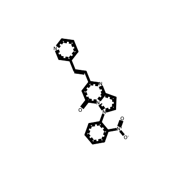 O=c1cc(/C=C/c2cccnc2)nc2ccn(-c3ccccc3[N+](=O)[O-])n12